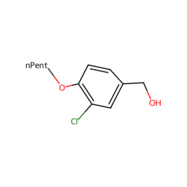 CCCCCOc1ccc(CO)cc1Cl